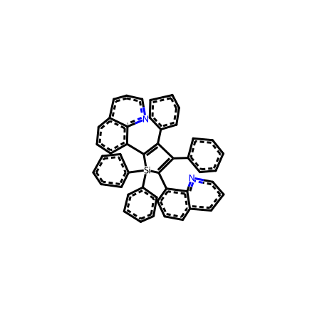 c1ccc(C2=C(c3cccc4cccnc34)[Si](c3ccccc3)(c3ccccc3)C(c3cccc4cccnc34)=C2c2ccccc2)cc1